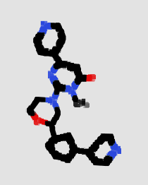 Cn1c(N2CCOC(c3cccc(-c4ccncc4)c3)C2)nc(-c2ccncc2)cc1=O